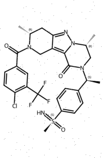 C[C@@H]1Cc2nn3c(c2CN1C(=O)c1ccc(Cl)c(C(F)(F)F)c1)C(=O)N([C@@H](C)c1ccc([S@@](C)(=N)=O)cc1)C[C@H]3C